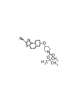 CC(C)(C)OC(=O)N1CCC(Oc2ccc3c(ccc4sc(C#N)nc43)c2)CC1